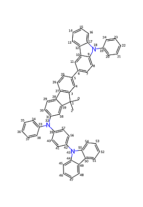 CC1(C)c2cc(-c3ccc4c(c3)c3ccccc3n4-c3ccccc3)ccc2-c2ccc(N(c3ccccc3)c3ccc(-n4c5ccccc5c5ccccc54)cc3)cc21